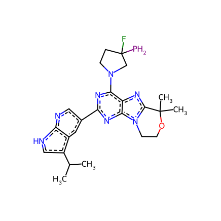 CC(C)c1c[nH]c2ncc(-c3nc(N4CCC(F)(P)C4)c4nc5n(c4n3)CCOC5(C)C)cc12